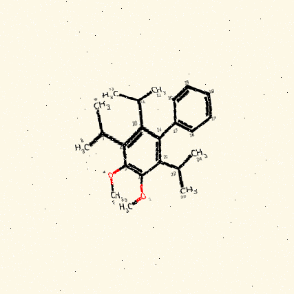 COc1c(OC)c(C(C)C)c(C(C)C)c(-c2ccccc2)c1C(C)C